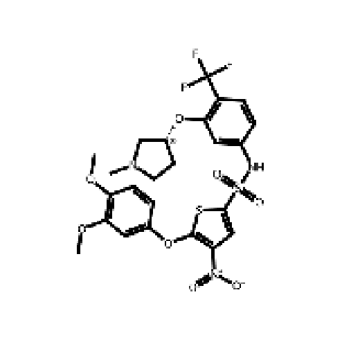 COc1ccc(Oc2sc(S(=O)(=O)Nc3ccc(C(F)(F)F)c(O[C@@H]4CCN(C)C4)c3)cc2[N+](=O)[O-])cc1OC